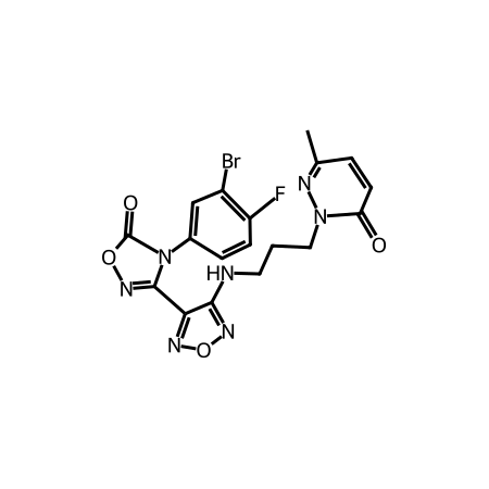 Cc1ccc(=O)n(CCCNc2nonc2-c2noc(=O)n2-c2ccc(F)c(Br)c2)n1